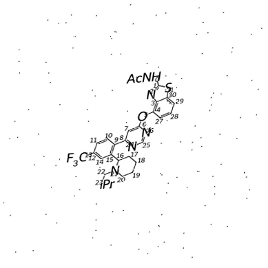 CC(=O)Nc1nc2c(Oc3cc(-c4ccc(C(F)(F)F)cc4C4CCCCN4CC(C)C)ncn3)cccc2s1